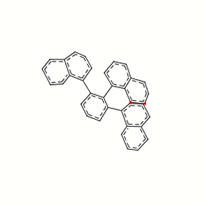 c1cc(-c2cccc3ccccc23)c(-c2cccc3ccccc23)c(-c2cccc3ccccc23)c1